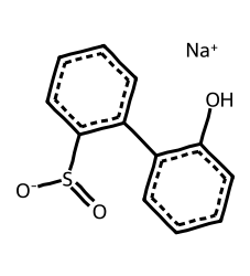 O=S([O-])c1ccccc1-c1ccccc1O.[Na+]